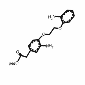 COC(=O)Cc1ccc(OCCOc2ccccc2N)c(N)c1